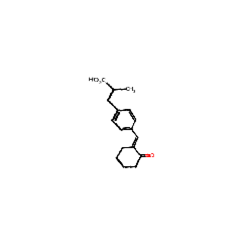 CC(Cc1ccc(C=C2CCCCC2=O)cc1)C(=O)O